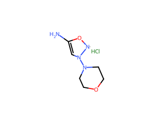 Cl.NC1=CN(N2CCOCC2)[N]O1